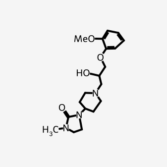 COc1ccccc1OCC(O)CN1CCC(N2CCN(C)C2=O)CC1